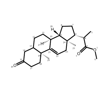 COC(=O)C(C)[C@H]1CC[C@H]2[C@@H]3CCC4CC(=O)CC[C@]4(C)C3=CC[C@]12C